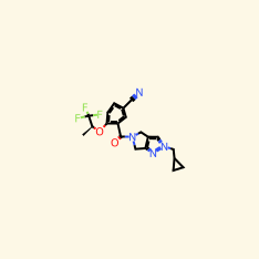 C[C@H](Oc1ccc(C#N)cc1C(=O)N1Cc2cn(CC3CC3)nc2C1)C(F)(F)F